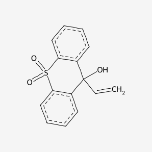 C=CC1(O)c2ccccc2S(=O)(=O)c2ccccc21